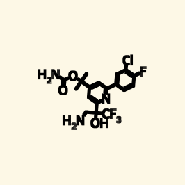 CC(C)(OC(N)=O)c1cc(-c2ccc(F)c(Cl)c2)nc(C(O)(CN)C(F)(F)F)c1